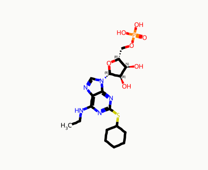 CCNc1nc(SC2CCCCC2)nc2c1ncn2[C@@H]1O[C@H](COP(=O)(O)O)[C@@H](O)[C@H]1O